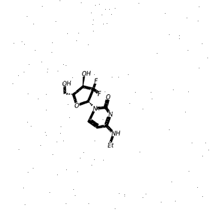 CCNc1ccn([C@@H]2O[C@H](CO)[C@@H](O)C2(F)F)c(=O)n1